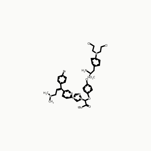 CC(C)(C)C(=O)C(Oc1ccc(Cl)cc1)n1cncn1.CN(C)C/C=C(/c1ccc(Br)cc1)c1cccnc1.N[C@@H](Cc1ccc(N(CCCl)CCCl)cc1)C(=O)O